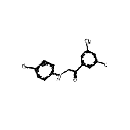 N#Cc1cc(Cl)cc(C(=O)CNc2ccc(Cl)cc2)c1